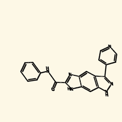 O=C(Nc1ccccc1)c1nc2cc3c(-c4ccncc4)n[nH]c3cc2[nH]1